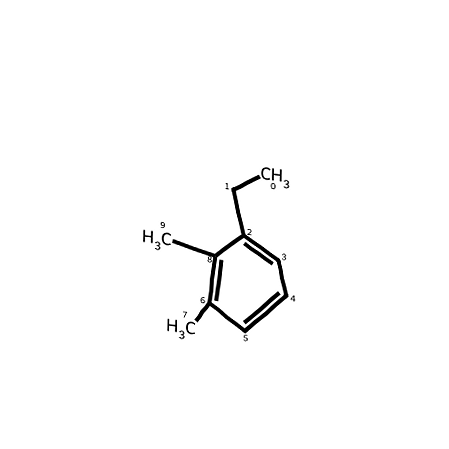 CCc1cccc(C)c1C